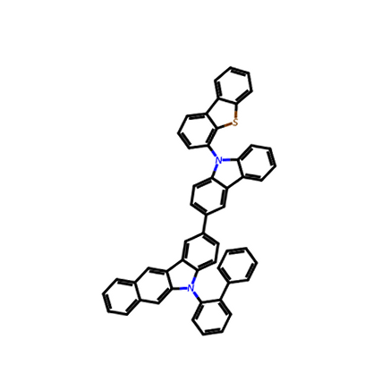 c1ccc(-c2ccccc2-n2c3ccc(-c4ccc5c(c4)c4ccccc4n5-c4cccc5c4sc4ccccc45)cc3c3cc4ccccc4cc32)cc1